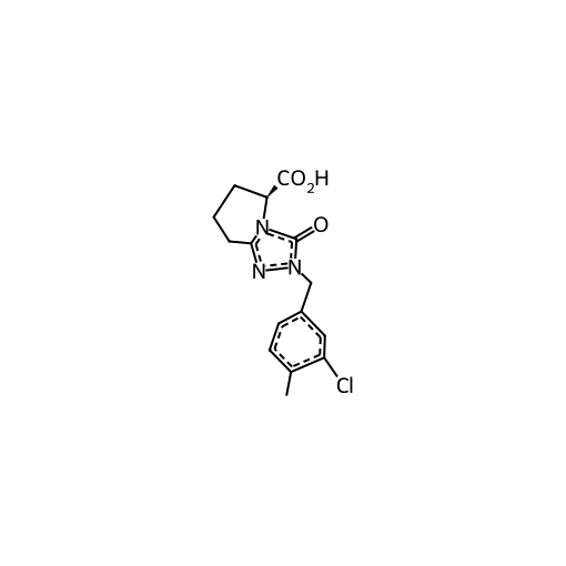 Cc1ccc(Cn2nc3n(c2=O)[C@H](C(=O)O)CCC3)cc1Cl